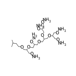 CC(C)CCOCC(CON)OCC(COCC(COC(CON)CON)OCC(CON)ON)ON